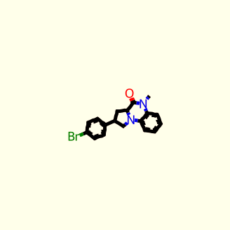 CN1C(=O)C2CC(c3ccc(Br)cc3)CN2c2ccccc21